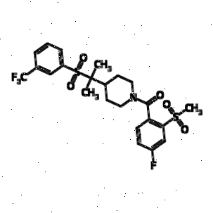 CC(C)(C1CCN(C(=O)c2ccc(F)cc2S(C)(=O)=O)CC1)S(=O)(=O)c1cccc(C(F)(F)F)c1